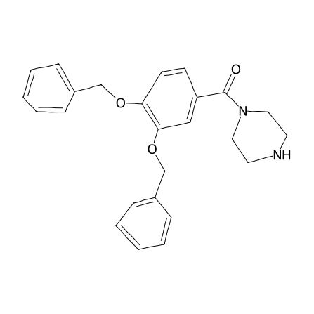 O=C(c1ccc(OCc2ccccc2)c(OCc2ccccc2)c1)N1CCNCC1